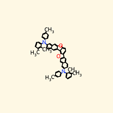 Cc1ccc(N(c2ccc3cc4c(cc3c2)oc2c4ccc3oc4cc5cc(N(c6ccc(C)cc6)c6cccc(C)c6C)ccc5cc4c32)c2cccc(C)c2C)cc1